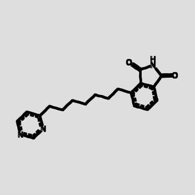 O=C1NC(=O)c2c(CCCCCCCc3ccncn3)cccc21